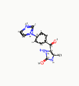 CCC1=C(C(=O)c2ccc(-n3ccnc3)cc2)NC(=O)[N]1